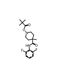 CC(C)(C)C(=O)ON1CCC(C)(C(=O)Nc2c(F)cccc2F)CC1